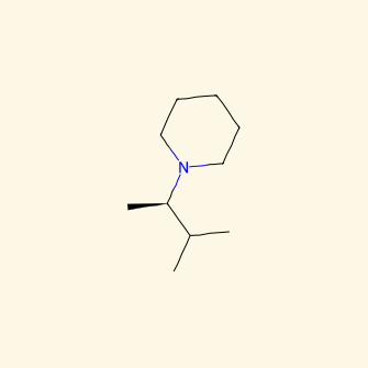 CC(C)[C@@H](C)N1CCCCC1